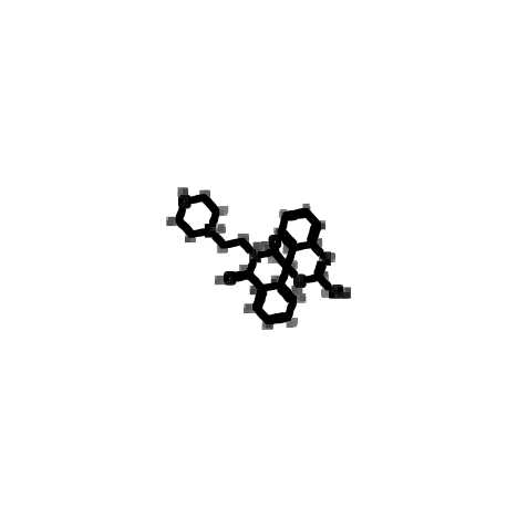 CC(C)(C)C1=Nc2ccccc2C2(O1)C(=O)N(CCN1CCOCC1)C(=O)c1ccccc12